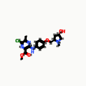 COC(=O)c1nc(Cl)c(C)nc1Nc1ccc(OC[C@H]2C[C@H](O)CN2C)cc1